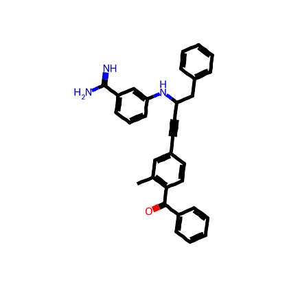 Cc1cc(C#CC(Cc2ccccc2)Nc2cccc(C(=N)N)c2)ccc1C(=O)c1ccccc1